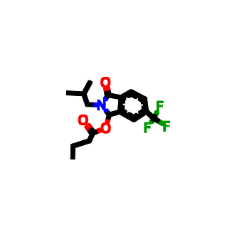 CCCC(=O)OC1c2cc(C(F)(F)F)ccc2C(=O)N1CC(C)C